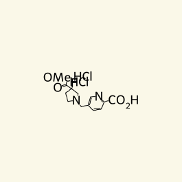 COC(=O)C1(F)CCN(Cc2ccc(C(=O)O)nc2)C1.Cl.Cl